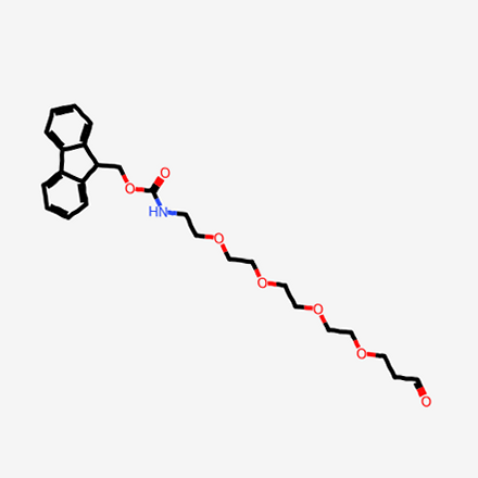 O=CCCOCCOCCOCCOCCNC(=O)OCC1c2ccccc2-c2ccccc21